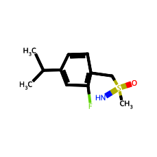 CC(C)c1ccc(CS(C)(=N)=O)c(F)c1